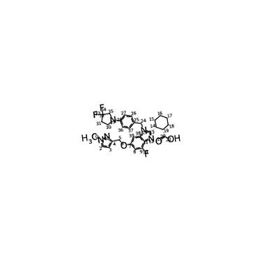 Cn1ccc(COc2cc(F)c3nc([C@@H]4CCCC[C@@H]4C(=O)O)n(Cc4ccc(N5CCC(F)(F)C5)cc4)c3c2)n1